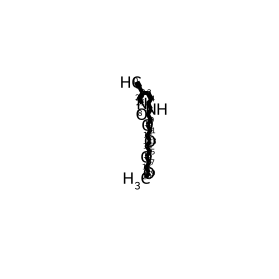 C#Cc1ccc(NC(=O)COCCOCCOCCOC)nc1